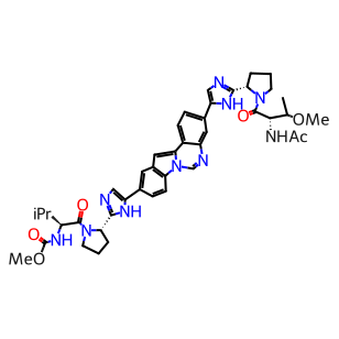 COC(=O)N[C@H](C(=O)N1CCC[C@H]1c1ncc(-c2ccc3c(c2)cc2c4ccc(-c5cnc([C@@H]6CCCN6C(=O)[C@@H](NC(C)=O)C(C)OC)[nH]5)cc4ncn32)[nH]1)C(C)C